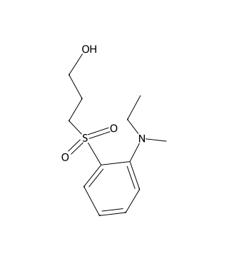 CCN(C)c1ccccc1S(=O)(=O)CCCO